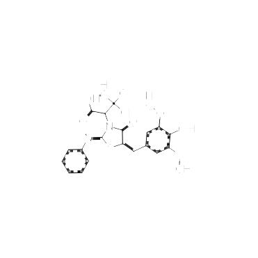 COc1cc(C=C2SC(=Nc3ccccc3)N(C(C(=O)O)C(C)(C)C)C2=O)cc(OC)c1O